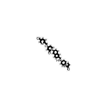 O=C1CC[C@]2(CC[C@@H](NCc3ccc4c(c3)CCC(n3ccc(OCc5ccc(Cl)cn5)cc3=O)=C4)CC2)N1